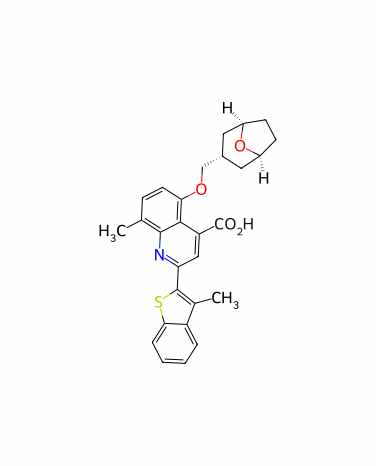 Cc1c(-c2cc(C(=O)O)c3c(OC[C@@H]4C[C@H]5CC[C@@H](C4)O5)ccc(C)c3n2)sc2ccccc12